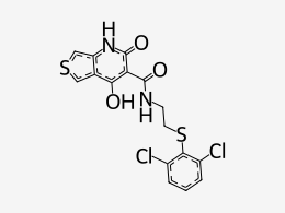 O=C(NCCSc1c(Cl)cccc1Cl)c1c(O)c2cscc2[nH]c1=O